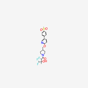 CC(O)(C(F)F)C(F)C(=O)N1CCC(COc2ccc(-c3ccc(S(C)(=O)=O)cc3)cn2)CC1